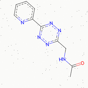 CC(=O)NCc1nnc(-c2ccccn2)nn1